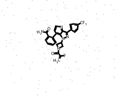 C=C(F)C(=O)N1CC(n2nc(-c3ccc(C(F)(F)F)cc3)c3nccc(-c4ccccc4C(N)=O)c32)C1